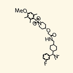 COc1cc(C)c(S(=O)(=O)N2CCC(OCC(=O)NCC3CCC(C(c4cccc(F)c4)N(C)C)CC3)CC2)c(C)c1C